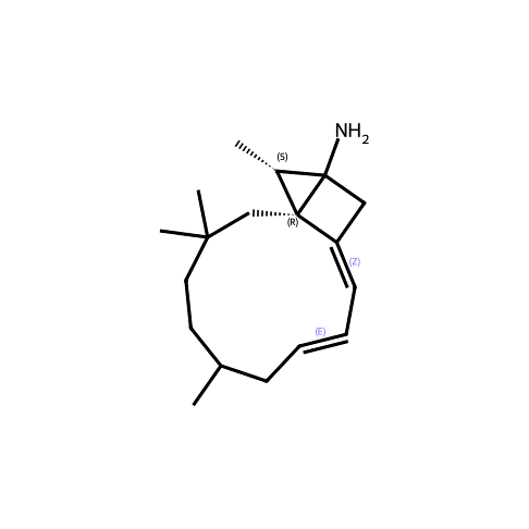 CC1C/C=C/C=C2/CC3(N)[C@@H](C)[C@]23CC(C)(C)CC1